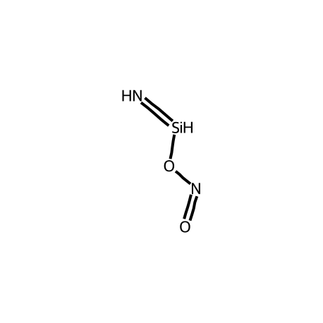 N=[SiH]ON=O